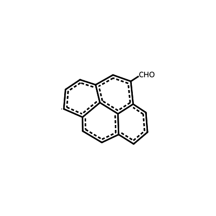 O=Cc1cc2cc[c]c3ccc4cccc1c4c32